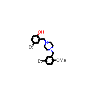 CCc1ccc(O)c(CN2CCN(Cc3cc(CC)ccc3OC)CC2)c1